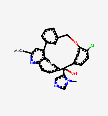 COc1cc2c3cc(ccc3n1)C(O)(c1cncn1C)c1ccc(Cl)c(c1)OCc1cccc-2c1